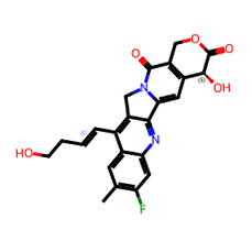 Cc1cc2c(/C=C/CCO)c3c(nc2cc1F)-c1cc2c(c(=O)n1C3)COC(=O)[C@H]2O